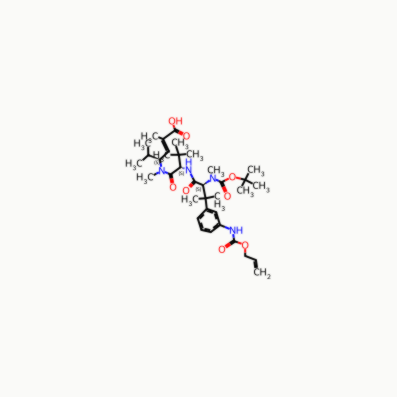 C=CCOC(=O)Nc1cccc(C(C)(C)[C@@H](C(=O)N[C@H](C(=O)N(C)[C@H](C=C(C)C(=O)O)C(C)C)C(C)(C)C)N(C)C(=O)OC(C)(C)C)c1